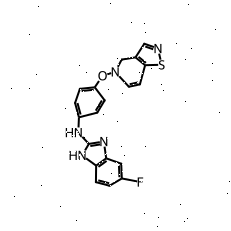 Fc1ccc2[nH]c(Nc3ccc(ON4C=Cc5sncc5C4)cc3)nc2c1